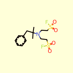 CC(C)(Cc1ccccc1)N(CCS(=O)(=O)F)CCS(=O)(=O)F